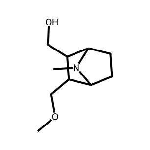 COCC1C(CO)C2CCC1N2C